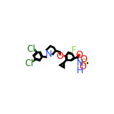 CS(=O)(=O)NC(=O)c1cc(C2CC2)c(OCC2CCCN(Cc3cc(Cl)cc(Cl)c3)C2)cc1F